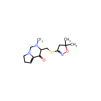 CC1(C)CC(SCC2C(=O)C3=CCCN3CN2C(F)(F)F)=NO1